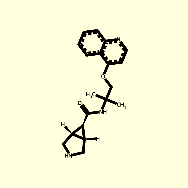 CC(C)(COc1ccnc2ccccc12)NC(=O)[C@H]1[C@@H]2CNC[C@@H]21